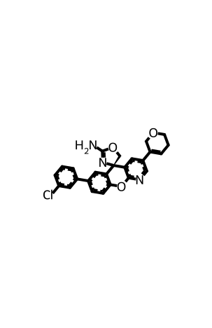 NC1=N[C@@]2(CO1)c1cc(-c3cccc(Cl)c3)ccc1Oc1ncc(C3=CCCOC3)cc12